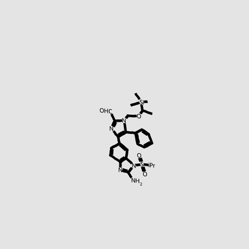 CC(OCn1c(C=O)nc(-c2ccc3nc(N)n(S(=O)(=O)C(C)C)c3c2)c1-c1ccccc1)[Si](C)(C)C